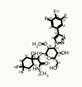 CNC(=O)C(S[C@@H]1O[C@H](CO)[C@H](O)[C@H](n2cc(-c3cc(F)c(F)c(F)c3)nn2)[C@H]1OC)C1(O)CCC(F)(F)CC1